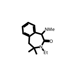 CCN1C(=O)C(NC)c2ccccc2CC1(C)C